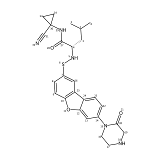 CC(C)C[C@H](NSc1ccc2oc3cc(N4CCNCC4=O)ccc3c2c1)C(=O)NC1(C#N)CC1